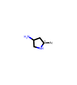 CC(=O)[C@@H]1CC(N)CN1